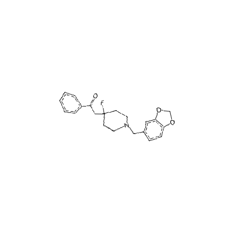 O=C(CC1(F)CCN(Cc2ccc3c(c2)OCO3)CC1)c1ccccc1